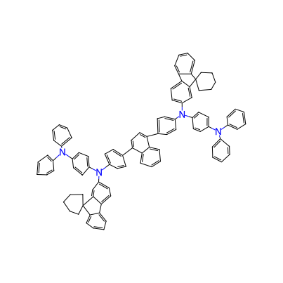 c1ccc(N(c2ccccc2)c2ccc(N(c3ccc(-c4ccc(-c5ccc(N(c6ccc(N(c7ccccc7)c7ccccc7)cc6)c6ccc7c(c6)C6(CCCCC6)c6ccccc6-7)cc5)c5ccccc45)cc3)c3ccc4c(c3)C3(CCCCC3)c3ccccc3-4)cc2)cc1